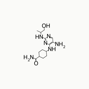 CC(CO)Nc1ncc(N)c(NC2CCC(C(N)=O)CC2)n1